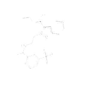 CCOC(=O)c1c2c(nn1CCNC(C)c1cccc(C(F)(F)F)c1)CCN(C)C2